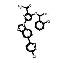 CC(Oc1cc(-n2cnc3cc(-c4ccc(Cl)nn4)ccc32)sc1C(N)=O)c1ccccc1Cl